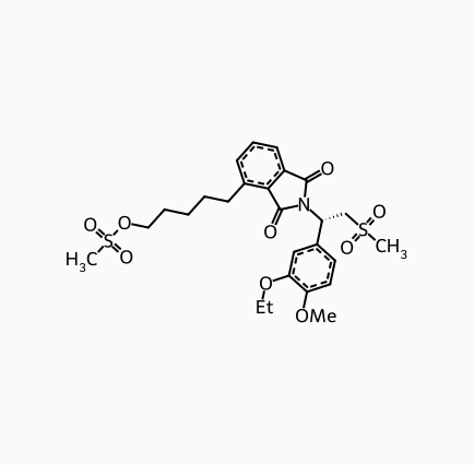 CCOc1cc([C@@H](CS(C)(=O)=O)N2C(=O)c3cccc(CCCCCOS(C)(=O)=O)c3C2=O)ccc1OC